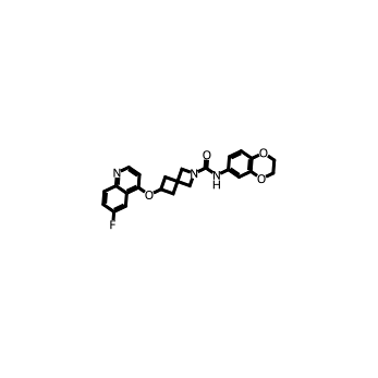 O=C(Nc1ccc2c(c1)OCCO2)N1CC2(CC(Oc3ccnc4ccc(F)cc34)C2)C1